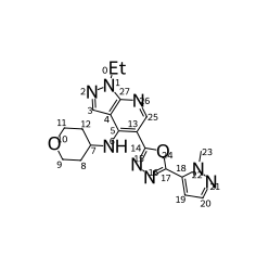 CCn1ncc2c(NC3CCOCC3)c(-c3nnc(-c4ccnn4C)o3)cnc21